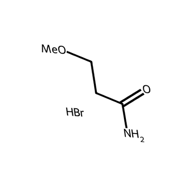 Br.COCCC(N)=O